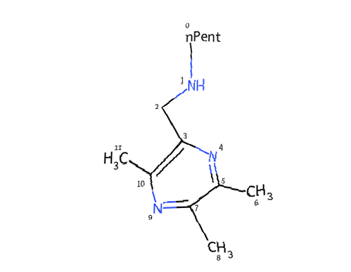 CCCCCNCc1nc(C)c(C)nc1C